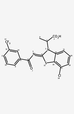 CC(C(=O)O)n1c(=NC(=O)c2cccc(C(F)(F)F)c2)sc2c(Cl)cccc21